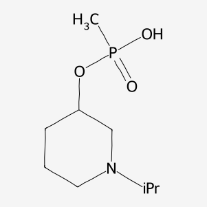 CC(C)N1CCCC(OP(C)(=O)O)C1